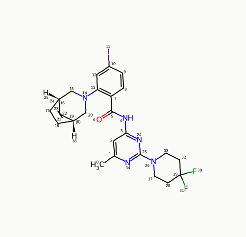 Cc1cc(NC(=O)c2ccc(I)cc2N2C[C@H]3CC[C@@H](C2)C32CC2)nc(N2CCC(F)(F)CC2)n1